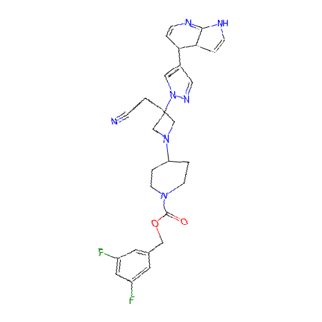 N#CCC1(n2cc(C3C=CN=C4NC=CC43)cn2)CN(C2CCN(C(=O)OCc3cc(F)cc(F)c3)CC2)C1